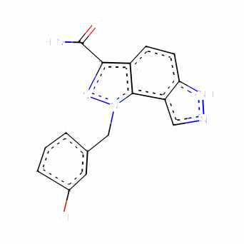 NC(=O)c1nn(Cc2cccc(O)c2)c2c1ccc1[nH]ncc12